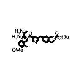 COc1ccc(N(N)/C=C(/C)N)c(CNC(=O)c2cncc(Cc3ccc4c(c3)CN(C(=O)OC(C)(C)C)CC4)c2)c1F